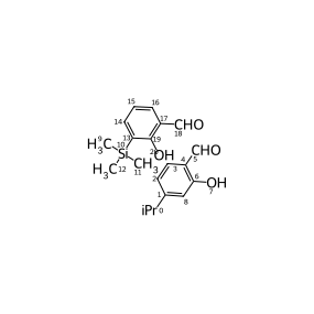 CC(C)c1ccc(C=O)c(O)c1.C[Si](C)(C)c1cccc(C=O)c1O